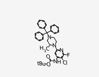 C[C@H]1CN(C(c2ccccc2)(c2ccccc2)c2ccccc2)CCN1c1cc(NC(=O)OC(C)(C)C)c(Cl)c(F)n1